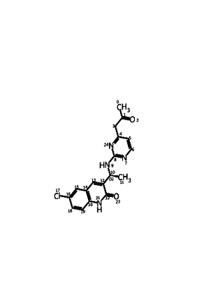 CC(=O)Cc1ccnc(N[C@@H](C)c2cc3cc(Cl)ccc3[nH]c2=O)n1